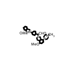 COc1ccccc1CNc1ccc([C@@H](C=O)N2CCc3c(OC)ccc(N4CCN(C)CC4)c3C2)cc1